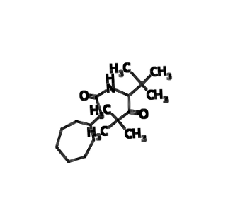 CC(C)(C)C(=O)C(NC(=O)CC1CCCCCC1)C(C)(C)C